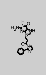 Nc1nc2c(c(=O)[nH]1)NCN2CCC(=O)n1ccnc1-c1ccccc1